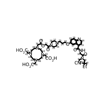 CCC(F)(F)CN(CC#N)C(=O)CNC(=O)c1ccnc2ccc(OCCCN3CCN(C(=O)COC(=O)CN4CCN(CC(=O)O)CCN(CC(=O)O)CCN(CC(=O)O)CC4)CC3)cc12